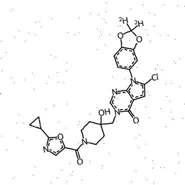 [2H]C1([2H])Oc2ccc(-n3c(Cl)cc4c(=O)n(CC5(O)CCN(C(=O)c6cnc(C7CC7)o6)CC5)cnc43)cc2O1